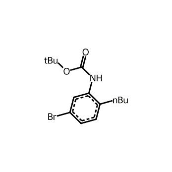 CCCCc1ccc(Br)cc1NC(=O)OC(C)(C)C